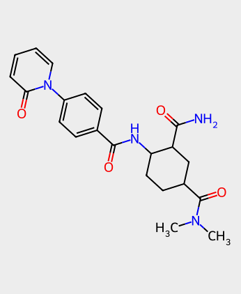 CN(C)C(=O)C1CCC(NC(=O)c2ccc(-n3ccccc3=O)cc2)C(C(N)=O)C1